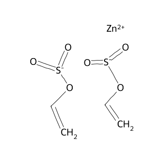 C=CO[S-](=O)=O.C=CO[S-](=O)=O.[Zn+2]